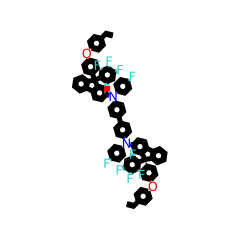 C=Cc1ccc(Oc2ccc(C3(c4c(F)cc(F)c(F)c4F)c4ccccc4-c4ccc(N(c5ccc(F)cc5)c5ccc(-c6ccc(N(c7ccc(F)cc7)c7ccc8c(c7)[C@](c7ccc(Oc9ccc(C=C)cc9)cc7)(c7c(F)cc(F)c(F)c7F)c7ccccc7-8)cc6)cc5)cc43)cc2)cc1